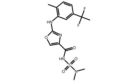 Cc1ccc(C(C)(F)F)cc1Nc1nc(C(=O)NS(=O)(=O)N(C)C)co1